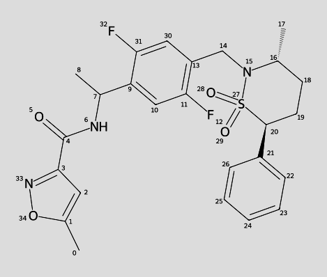 Cc1cc(C(=O)NC(C)c2cc(F)c(CN3[C@H](C)CC[C@@H](c4ccccc4)S3(=O)=O)cc2F)no1